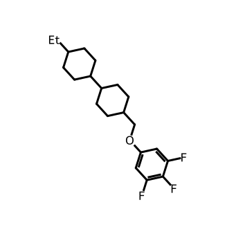 CCC1CCC(C2CCC(COc3cc(F)c(F)c(F)c3)CC2)CC1